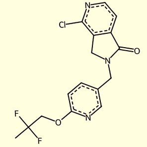 CC(F)(F)COc1ccc(CN2Cc3c(ccnc3Cl)C2=O)cn1